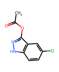 CC(=O)Oc1n[nH]c2ccc(Cl)cc12